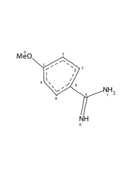 [CH2]Oc1ccc(C(=N)N)cc1